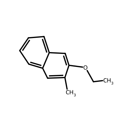 CCOc1cc2ccccc2cc1C